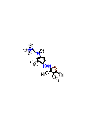 CCN(CC[N+](CC)(CC)CC)c1ccc(/N=N/c2sc(C#N)c(C)c2C#N)c(C)c1